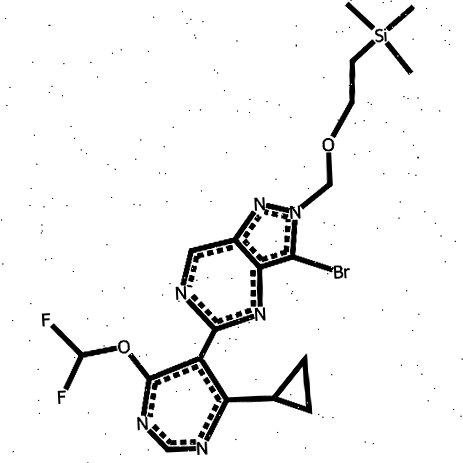 C[Si](C)(C)CCOCn1nc2cnc(-c3c(OC(F)F)ncnc3C3CC3)nc2c1Br